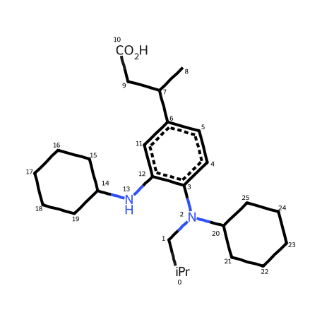 CC(C)CN(c1ccc(C(C)CC(=O)O)cc1NC1CCCCC1)C1CCCCC1